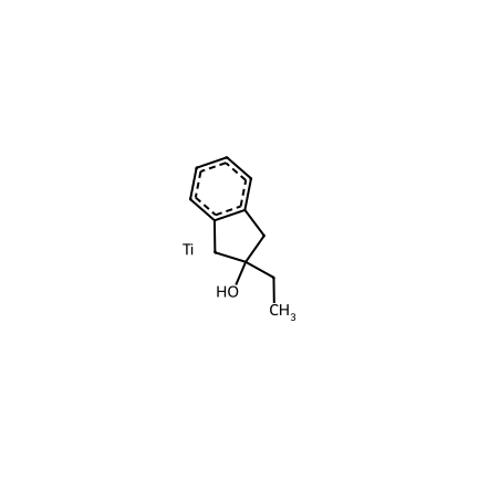 CCC1(O)Cc2ccccc2C1.[Ti]